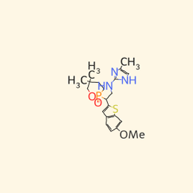 COc1ccc2cc(C(CNc3nc(C)c[nH]3)P3(=O)CCC(C)(C)CO3)sc2c1